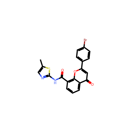 Cc1cnc(NC(=O)c2cccc3c(=O)cc(-c4ccc(Br)cc4)oc23)s1